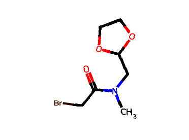 CN(CC1OCCO1)C(=O)CBr